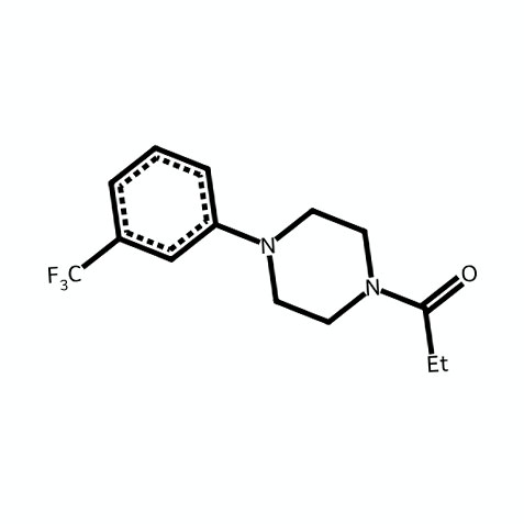 CCC(=O)N1CCN(c2cccc(C(F)(F)F)c2)CC1